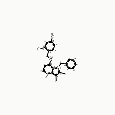 Cc1c(C)n(Cc2ccccc2)c2c(OCc3ccc(Cl)cc3Cl)ccnc12